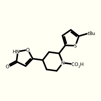 CC(C)(C)c1ccc(C2CC(c3cc(=O)[nH]o3)CCN2C(=O)O)s1